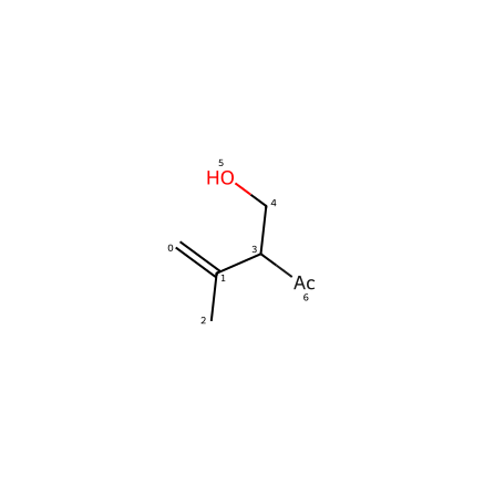 C=C(C)C(CO)C(C)=O